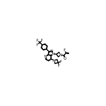 C=C(F)C(=O)N1CC(n2nc(-c3ccc(C(F)(F)F)cc3)c3nccc(N4CC(F)(F)C4)c32)C1